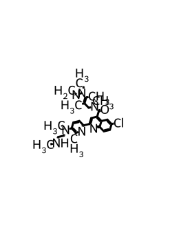 C=NN(CC)/C(C)=C(\C)CN(C)C(=O)c1cc(-c2ccc(N(C)CCNC)c(C)n2)nc2ccc(Cl)cc12